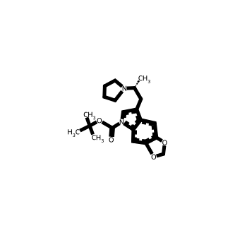 C[C@H](Cc1cn(C(=O)OC(C)(C)C)c2cc3c(cc12)OCO3)N1CCCC1